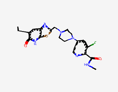 CCc1cc2nc(CN3CCN(c4cnc(C(=O)NC)c(F)c4)CC3)sc2[nH]c1=O